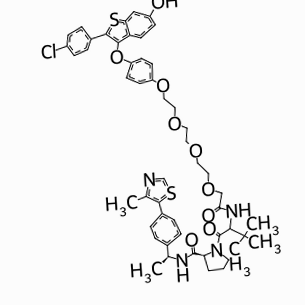 Cc1ncsc1-c1ccc([C@H](C)NC(=O)[C@@H]2CCCN2C(=O)C(NC(=O)COCCOCCOCCOc2ccc(Oc3c(-c4ccc(Cl)cc4)sc4cc(O)ccc34)cc2)C(C)(C)C)cc1